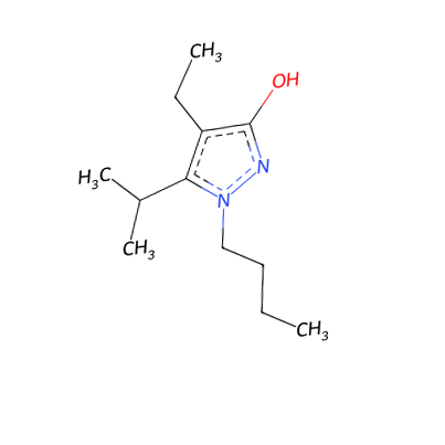 CCCCn1nc(O)c(CC)c1C(C)C